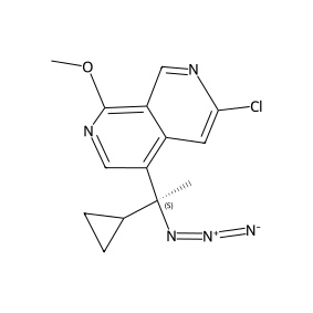 COc1ncc([C@@](C)(N=[N+]=[N-])C2CC2)c2cc(Cl)ncc12